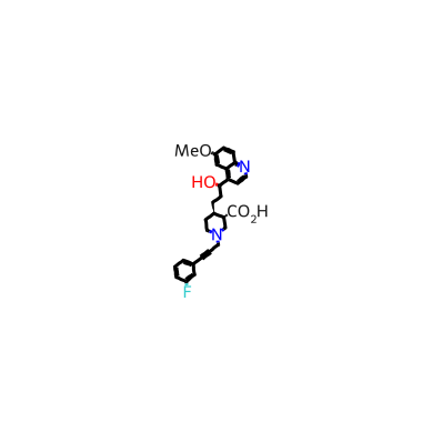 COc1ccc2nccc(C(O)CC[C@@H]3CCN(CC#Cc4cccc(F)c4)C[C@@H]3C(=O)O)c2c1